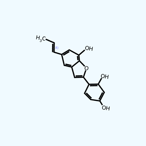 C/C=C/c1cc(O)c2oc(-c3ccc(O)cc3O)cc2c1